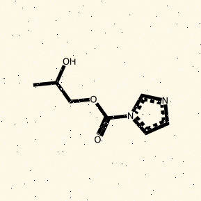 CC(O)COC(=O)n1ccnc1